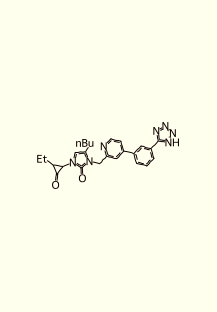 CCCCc1cn(C2C(=O)C2CC)c(=O)n1Cc1cc(-c2cccc(-c3nnn[nH]3)c2)ccn1